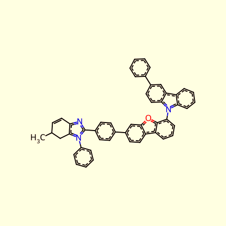 CC1C=Cc2nc(-c3ccc(-c4ccc5c(c4)oc4c(-n6c7ccccc7c7cc(-c8ccccc8)ccc76)cccc45)cc3)n(-c3ccccc3)c2C1